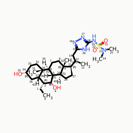 CC[C@H]1[C@@H](O)[C@@H]2[C@H](CC[C@]3(C)[C@@H]([C@H](C)Cc4nnc(NS(=O)(=O)N(C)C)[nH]4)CC[C@@H]23)[C@@]2(C)CC[C@@H](O)C[C@@H]12